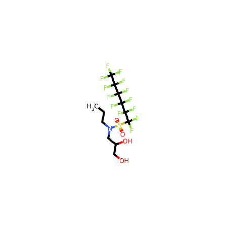 CCCN(CC(O)CO)S(=O)(=O)C(F)(F)C(F)(F)C(F)(F)C(F)(F)C(F)(F)C(F)(F)F